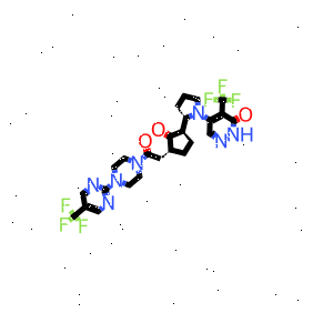 O=C1[C@@H](CC(=O)N2CCN(c3ncc(C(F)(F)F)cn3)CC2)CC[C@@H]1[C@@H]1CCCN1c1cn[nH]c(=O)c1C(F)(F)F